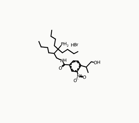 Br.CCCCC(CNC(=O)c1ccc(C(C)CO)c([N+](=O)[O-])c1)C(P)(CCCC)CCCC